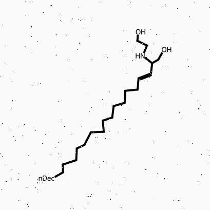 CCCCCCCCCCCCCCCCCCCCCCC/C=C/C(CO)NCCO